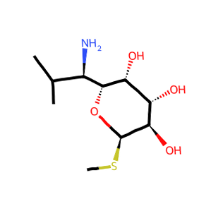 CS[C@H]1O[C@H]([C@H](N)C(C)C)[C@H](O)[C@H](O)[C@H]1O